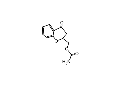 NC(=O)OCC1CC(=O)c2ccccc2O1